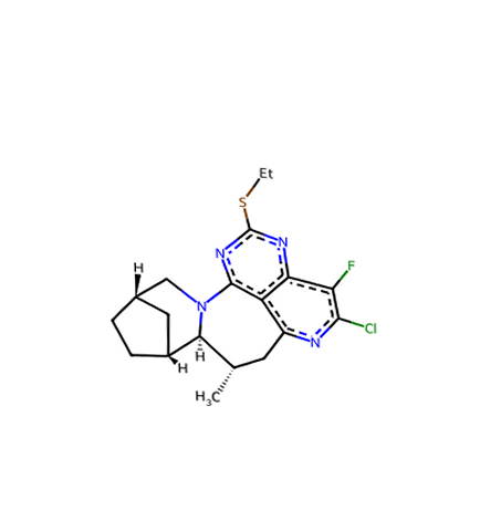 CCSc1nc2c3c(nc(Cl)c(F)c3n1)C[C@H](C)[C@H]1[C@@H]3CC[C@@H](C3)CN21